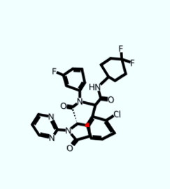 O=C(NC1CCC(F)(F)CC1)C(c1ccccc1Cl)N(C(=O)[C@@H]1CCC(=O)N1c1ncccn1)c1cccc(F)c1